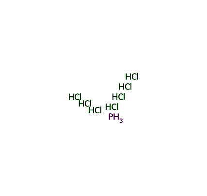 Cl.Cl.Cl.Cl.Cl.Cl.Cl.P